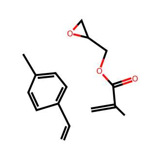 C=C(C)C(=O)OCC1CO1.C=Cc1ccc(C)cc1